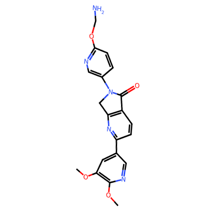 COc1cc(-c2ccc3c(n2)CN(c2ccc(OCN)nc2)C3=O)cnc1OC